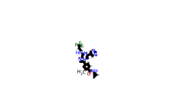 Cc1cc(-c2cnc3c(NCCC(F)(F)F)nc(-c4cncnc4)cn23)ccc1C(=O)NC1CC1